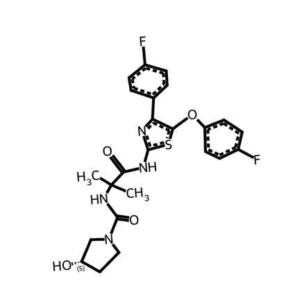 CC(C)(NC(=O)N1CC[C@H](O)C1)C(=O)Nc1nc(-c2ccc(F)cc2)c(Oc2ccc(F)cc2)s1